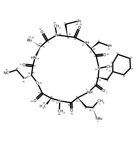 CCCC[C@@H](C)C[C@@H]1NC(=O)[C@H](CC2CCCCC2)N(C)C(=O)[C@H](CC(C)C)NC(=O)[C@H](CC(C)C)N(C)C(=O)[C@H]([C@@H](C)CC)NC(=O)[C@@H](CCC#N)OC(=O)[C@H](C)N(C)C1=O